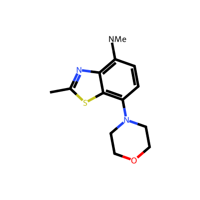 CNc1ccc(N2CCOCC2)c2sc(C)nc12